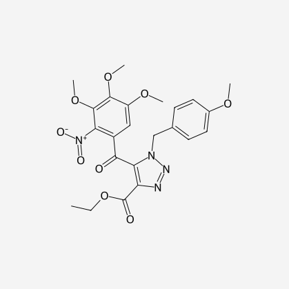 CCOC(=O)c1nnn(Cc2ccc(OC)cc2)c1C(=O)c1cc(OC)c(OC)c(OC)c1[N+](=O)[O-]